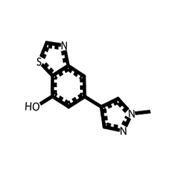 Cn1cc(-c2cc(O)c3scnc3c2)cn1